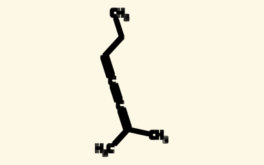 CCC=C=C=C(C)C